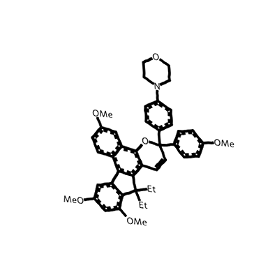 CCC1(CC)c2c(OC)cc(OC)cc2-c2c1c1c(c3cc(OC)ccc23)OC(c2ccc(OC)cc2)(c2ccc(N3CCOCC3)cc2)C=C1